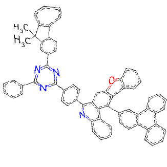 CC1(C)c2ccccc2-c2ccc(-c3nc(-c4ccccc4)nc(-c4ccc(-c5nc6ccccc6c6c(-c7ccc8c9ccccc9c9ccccc9c8c7)c7c(cc56)oc5ccccc57)cc4)n3)cc21